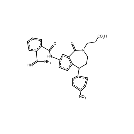 N=C(N)c1ccccc1C(=O)Nc1ccc2c(c1)C(=O)N(CCC(=O)O)CCN2c1ccc([N+](=O)[O-])cc1